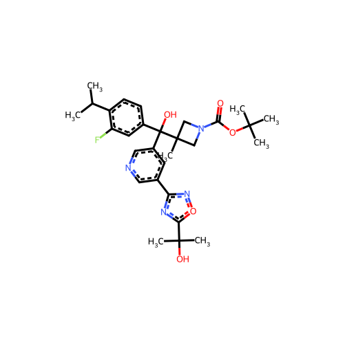 CC(C)c1ccc(C(O)(c2cncc(-c3noc(C(C)(C)O)n3)c2)C2(C)CN(C(=O)OC(C)(C)C)C2)cc1F